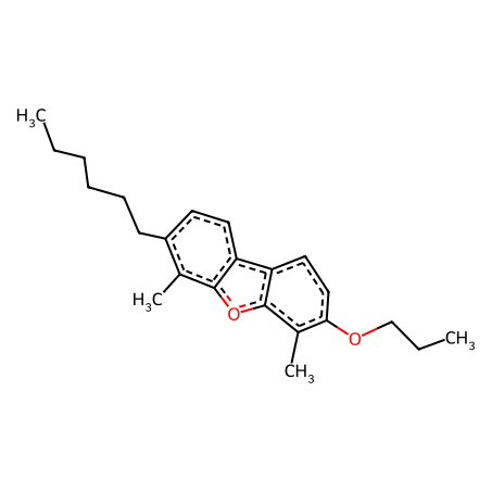 CCCCCCc1ccc2c(oc3c(C)c(OCCC)ccc32)c1C